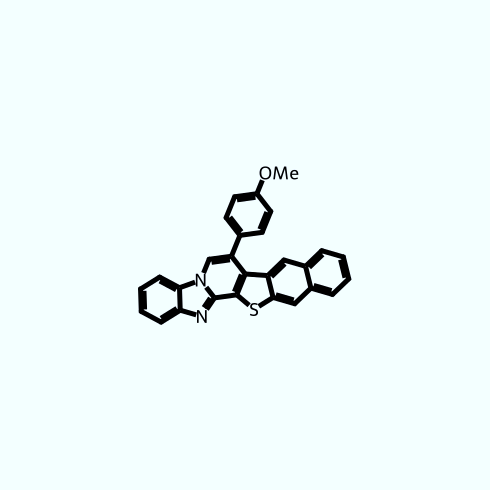 COc1ccc(-c2cn3c4ccccc4nc3c3sc4cc5ccccc5cc4c23)cc1